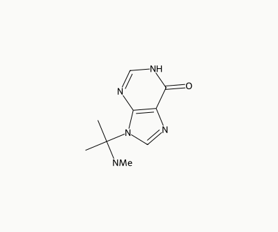 CNC(C)(C)n1cnc2c(=O)[nH]cnc21